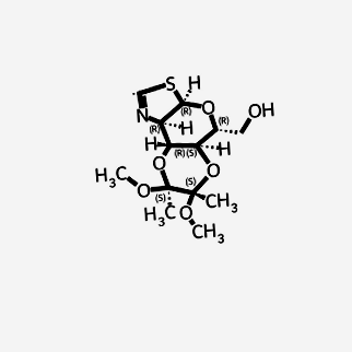 CO[C@@]1(C)O[C@@H]2[C@H]3N=[C]S[C@H]3O[C@H](CO)[C@H]2O[C@]1(C)OC